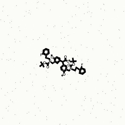 COC(=O)C(c1ccc(OC)c(CN(CCc2ccccc2F)C(=O)OC(C)(C)C)c1)c1ccc(OC)c(CN(CCc2ccccc2F)C(=O)OC(C)(C)C)c1